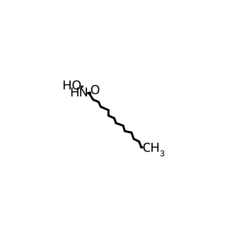 CCCCCCCCCCCCCCC(=O)NCO